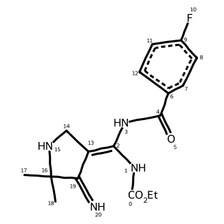 CCOC(=O)N/C(NC(=O)c1ccc(F)cc1)=C1/CNC(C)(C)C1=N